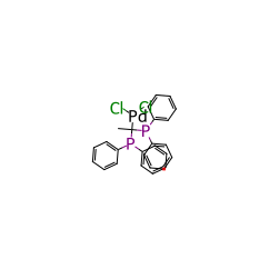 C[C](P(c1ccccc1)c1ccccc1)(P(c1ccccc1)c1ccccc1)[Pd]([Cl])[Cl]